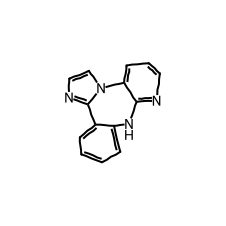 c1ccc2c(c1)Nc1ncccc1-n1ccnc1-2